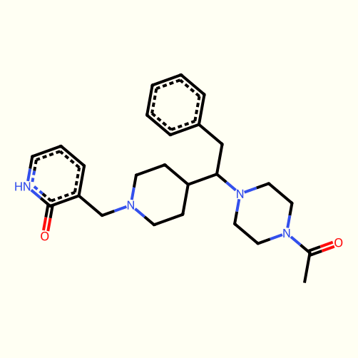 CC(=O)N1CCN(C(Cc2ccccc2)C2CCN(Cc3ccc[nH]c3=O)CC2)CC1